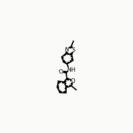 Cc1nc2ccc(NC(=O)c3oc(C)c4ccccc34)cc2s1